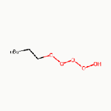 CCCCCCOOOOO